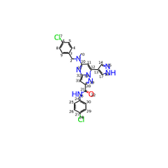 CN(Cc1ccc(Cl)cc1)c1cc(-c2cn[nH]c2)n2nc(C(=O)Nc3ccc(Cl)cc3)cc2n1